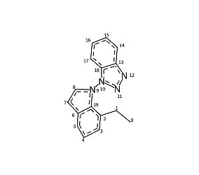 CCc1cccc2ccn(-n3nnc4ccccc43)c12